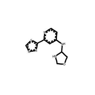 c1cc(NC2COCN2)cc(-c2nncs2)n1